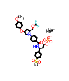 CCS(=O)(=O)c1ccc([C@H](CCOP(=O)([O-])[O-])NC(=O)c2ccc(N3C[C@@H](Oc4ccc(OC(F)(F)F)cc4)C[C@H]3COC(F)F)cc2)cc1.[Na+].[Na+]